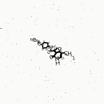 CCCCOC1CCC(NC(=O)c2coc3c(C)c[nH]c(=O)c23)CC1